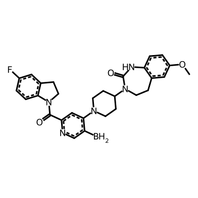 Bc1cnc(C(=O)N2CCc3cc(F)ccc32)cc1N1CCC(N2CCc3cc(OC)ccc3NC2=O)CC1